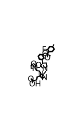 Cc1ccc(C2(C)Oc3cccc(C4CCN(Cc5ncc(/C=C/C(=O)O)n5CCN5CCOC5=O)CC4)c3O2)c(F)c1